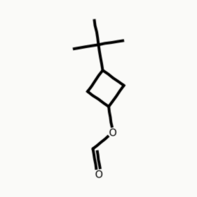 CC(C)(C)C1CC(OC=O)C1